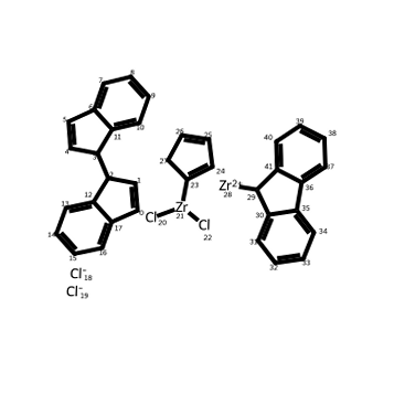 C1=CC(C2C=Cc3ccccc32)c2ccccc21.[Cl-].[Cl-].[Cl][Zr]([Cl])[C]1=CC=CC1.[Zr+2][CH]1c2ccccc2-c2ccccc21